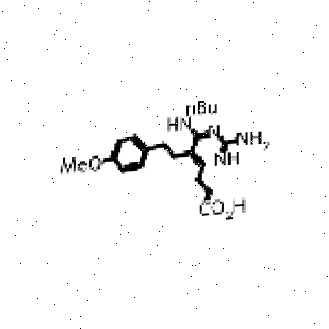 CCCCNC(=N/C(=N)N)/C(=C/CCC(=O)O)CCc1ccc(OC)cc1